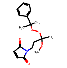 COC(C)(CCN1C(=O)C=CC1=O)OOC(C)(C)c1ccccc1